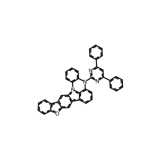 c1ccc(-c2cc(-c3ccccc3)nc(N3c4ccccc4-n4c5cc6c(cc5c5cccc3c54)oc3ccccc36)n2)cc1